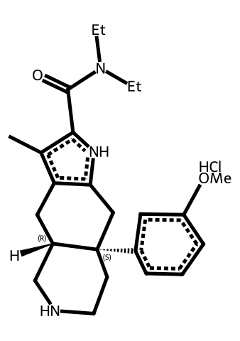 CCN(CC)C(=O)c1[nH]c2c(c1C)C[C@H]1CNCC[C@]1(c1cccc(OC)c1)C2.Cl